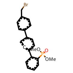 COP(=O)(OC)c1ccccc1-c1ccc(-c2ccc(CBr)cc2)cc1